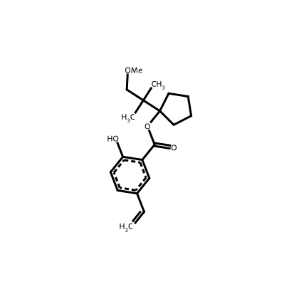 C=Cc1ccc(O)c(C(=O)OC2(C(C)(C)COC)CCCC2)c1